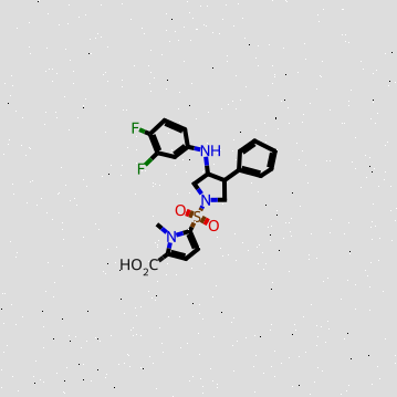 Cn1c(C(=O)O)ccc1S(=O)(=O)N1CC(Nc2ccc(F)c(F)c2)C(c2ccccc2)C1